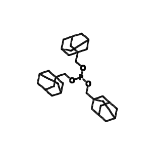 C1C2CC3CC1CC(COP(OCC14CC5CC(CC(C5)C1)C4)OCC14CC5CC(CC(C5)C1)C4)(C2)C3